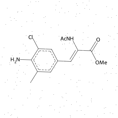 COC(=O)/C(=C/c1cc(C)c(N)c(Cl)c1)NC(C)=O